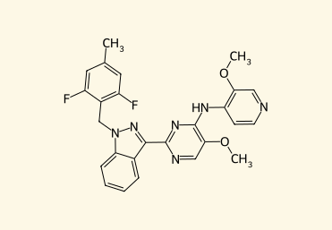 COc1cnccc1Nc1nc(-c2nn(Cc3c(F)cc(C)cc3F)c3ccccc23)ncc1OC